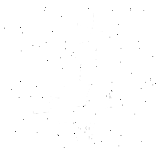 CC(C)(C)C(=O)C(C#N)=C(OC(=O)c1ccc(C(F)(F)F)cc1)c1ccc(Cl)cc1[N+](=O)[O-]